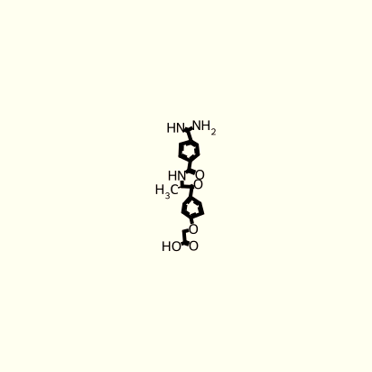 C[C@H](NC(=O)c1ccc(C(=N)N)cc1)C(=O)c1ccc(OCC(=O)O)cc1